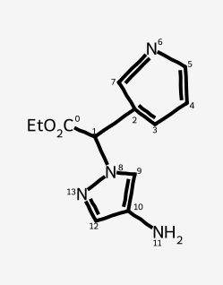 CCOC(=O)C(c1cccnc1)n1cc(N)cn1